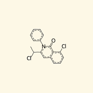 CC(Cl)c1cc2cccc(Cl)c2c(=O)n1-c1ccccc1